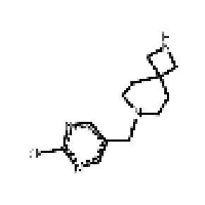 Clc1ncc(CN2CCC3(CC2)CNC3)cn1